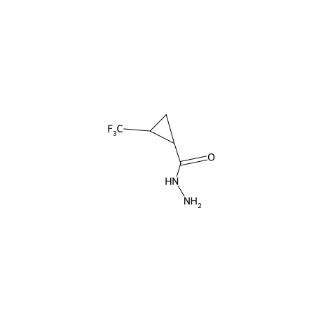 NNC(=O)C1CC1C(F)(F)F